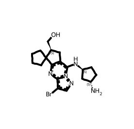 N[C@H]1CC[C@H](Nc2c3c(nc4c(Br)cnn24)C2(CCCC2)[C@@H](CO)C3)C1